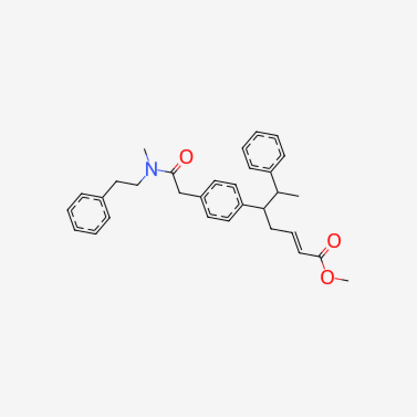 COC(=O)C=CCC(c1ccc(CC(=O)N(C)CCc2ccccc2)cc1)C(C)c1ccccc1